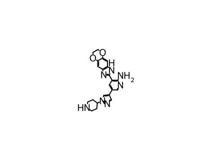 Nc1ncc(-c2cnn(C3CCNCC3)c2)cc1-c1nc2cc3c(cc2[nH]1)OCCO3